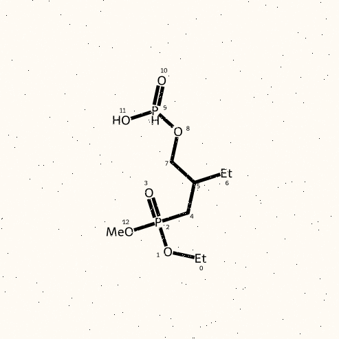 CCOP(=O)(CC(CC)CO[PH](=O)O)OC